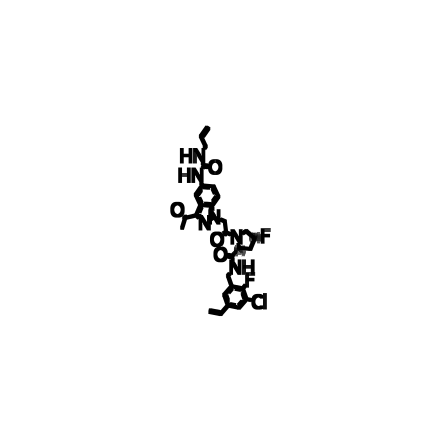 C=CCNC(=O)Nc1ccc2c(c1)c(C(C)=O)nn2CC(=O)N1C[C@H](F)C[C@H]1C(=O)NCc1cc(C=C)cc(Cl)c1F